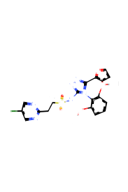 COc1cccc(OC)c1-n1c(NS(=O)(=O)[C@@H](C)Cc2ncc(Cl)cn2)nnc1-c1ccco1